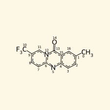 Cc1ccc2nc3ccc(C(F)(F)F)cn3c(=O)c2c1